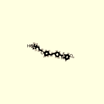 COc1ccc2nc(C3=CC=C(/C=C/c4ccc(OCCCC(C)(C)[Si](C)(C)O)cc4)CC3)sc2c1